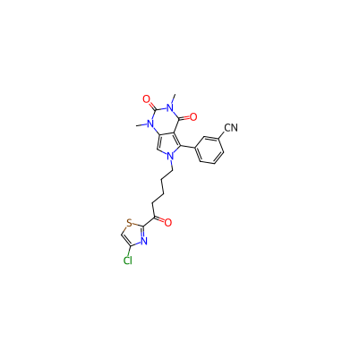 Cn1c(=O)c2c(-c3cccc(C#N)c3)n(CCCCC(=O)c3nc(Cl)cs3)cc2n(C)c1=O